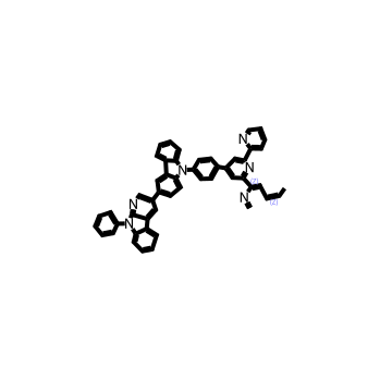 C=N/C(=C\C=C/C)c1cc(-c2ccc(-n3c4ccccc4c4cc(-c5cnc6c(c5)c5ccccc5n6-c5ccccc5)ccc43)cc2)cc(-c2ccccn2)n1